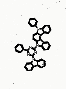 c1ccc(-c2nc(-n3c4ccccc4c4ccccc43)nc(-n3c4ccccc4c4c5c6ccccc6n(-c6ccccc6)c5ccc43)n2)cc1